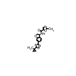 Cc1ncc(C(=O)NC2COc3cc(-c4noc(C5(C)CC5)n4)ccc32)o1